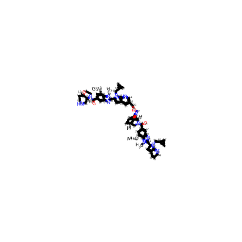 COc1cc(C(=O)N2CCO[C@H]3CCNC[C@H]32)cc2nc(-c3cc4cc(CO/N=C5\C6C[C@@H]7CN(C(=O)c8cc(OC)c9c(c8)nc(-c8cc%10cccnc%10n8CC8CC8)n9C)[C@H]5[C@H]67)cnc4n3CC3CC3)n(C)c12